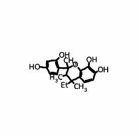 CCC1(C)c2ccc(O)c(O)c2OC(C)(c2ccc(O)cc2O)C1C